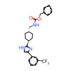 O=C(NC[C@H]1CC[C@H](c2nc(-c3cccc(C(F)(F)F)c3)c[nH]2)CC1)OCc1ccccc1